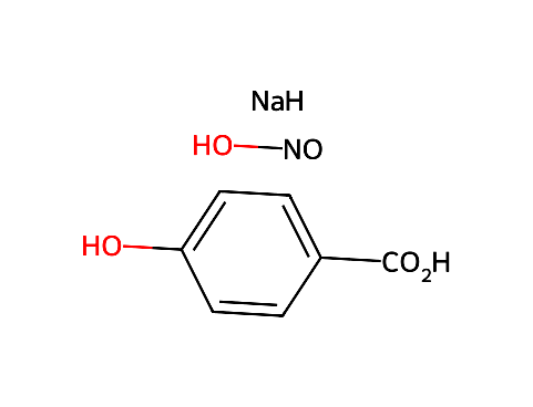 O=C(O)c1ccc(O)cc1.O=NO.[NaH]